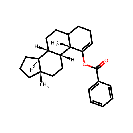 C[C@@]12CCC[C@H]1[C@@H]1CCC3CCC=C(OC(=O)c4ccccc4)[C@]3(C)[C@@H]1CC2